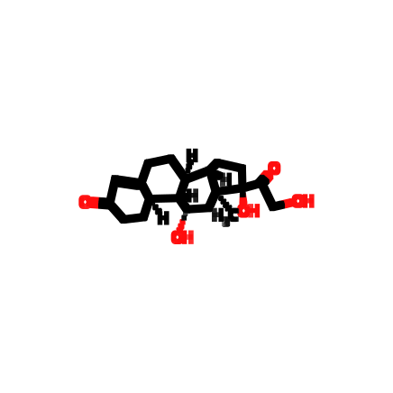 C[C@]12C[C@H](O)[C@H]3[C@@H](CCC4=CC(=O)CC[C@@H]43)[C@@H]1CC[C@]2(O)C(=O)CO